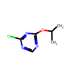 CC(C)Oc1n[c]nc(Cl)n1